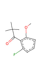 COc1cccc(F)c1C(=O)C(C)(C)C